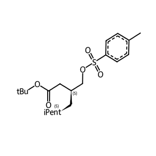 CCC[C@H](C)C[C@H](COS(=O)(=O)c1ccc(C)cc1)CC(=O)OC(C)(C)C